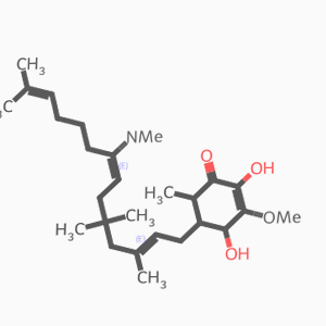 CN/C(=C/CC(C)(C)C/C(C)=C/CC1C(C)C(=O)C(O)=C(OC)C1O)CCCC=C(C)C